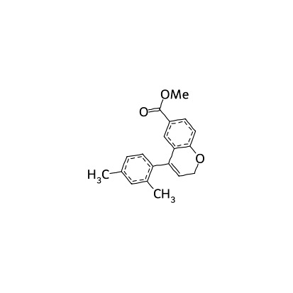 COC(=O)c1ccc2c(c1)C(c1ccc(C)cc1C)=CCO2